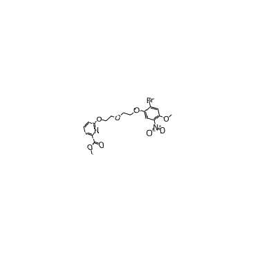 COC(=O)c1cccc(OCCOCCOc2cc([N+](=O)[O-])c(OC)cc2Br)n1